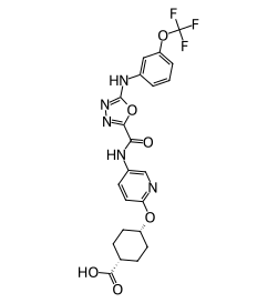 O=C(Nc1ccc(O[C@H]2CC[C@@H](C(=O)O)CC2)nc1)c1nnc(Nc2cccc(OC(F)(F)F)c2)o1